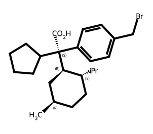 CC(C)[C@@H]1CC[C@@H](C)C[C@H]1[C@](C(=O)O)(c1ccc(CBr)cc1)C1CCCC1